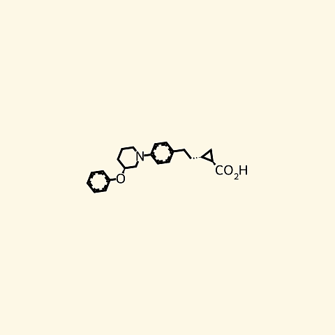 O=C(O)[C@@H]1C[C@H]1CCc1ccc(N2CCC[C@H](Oc3ccccc3)C2)cc1